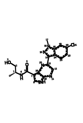 C[C@H](CO)NC(=O)c1c[nH]c2ncc(-c3nn(C)c4cc(Cl)ccc34)nc12